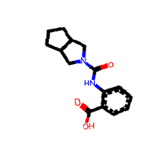 O=C(O)c1ccccc1NC(=O)N1CC2CCCC2C1